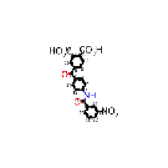 O=C(Nc1ccc(C(=O)c2ccc(C(=O)O)c(C(=O)O)c2)cc1)c1cccc([N+](=O)[O-])c1